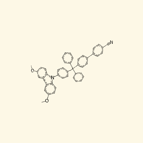 COc1ccc2c(c1)c1cc(OC)ccc1n2-c1ccc(C(c2ccccc2)(c2ccccc2)c2ccc(-c3ccc(C#N)cc3)cc2)cc1